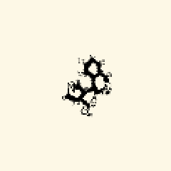 COC(=O)c1ccncc1-c1cncc2ccccc12